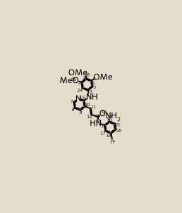 COc1cc(Nc2ncccc2/C=C/C(=O)Nc2cc(C)ccc2N)cc(OC)c1OC